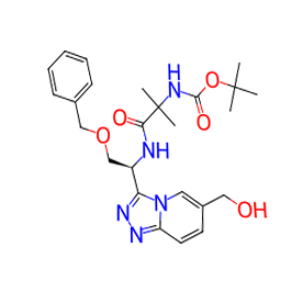 CC(C)(C)OC(=O)NC(C)(C)C(=O)N[C@H](COCc1ccccc1)c1nnc2ccc(CO)cn12